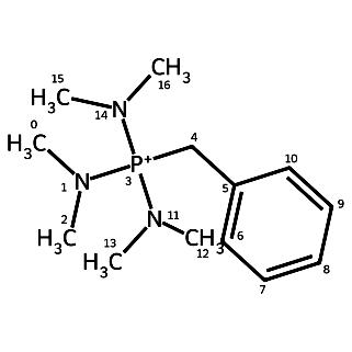 CN(C)[P+](Cc1ccccc1)(N(C)C)N(C)C